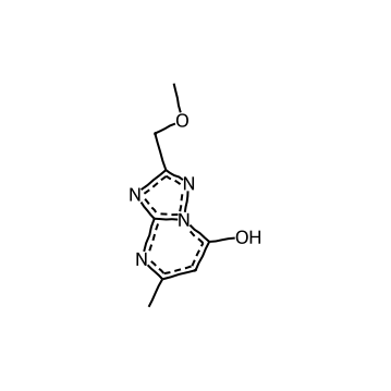 COCc1nc2nc(C)cc(O)n2n1